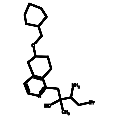 CC(C)CC(N)C(C)(O)Cc1nccc2c1CCC(OCC1CCCCC1)C2